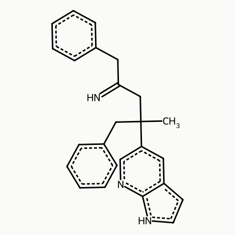 CC(CC(=N)Cc1ccccc1)(Cc1ccccc1)c1cnc2[nH]ccc2c1